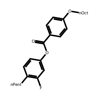 CCCCCCCCOc1ccc(C(=O)Oc2ccc(CCCCC)c(F)c2)cc1